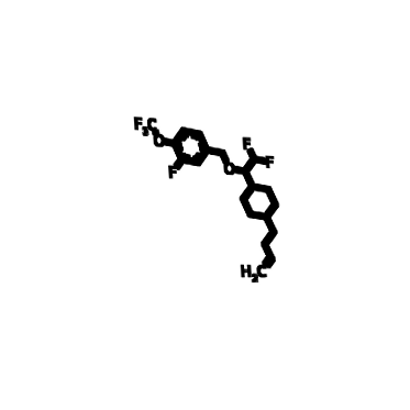 C=CCCC1CCC(C(OCc2ccc(OC(F)(F)F)c(F)c2)C(F)F)CC1